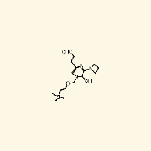 C[Si](C)(C)CCOCN1C=C(CCC=O)N=C(N2CCC2)C1O